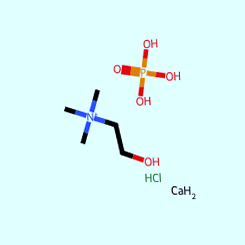 C[N+](C)(C)CCO.Cl.O=P(O)(O)O.[CaH2]